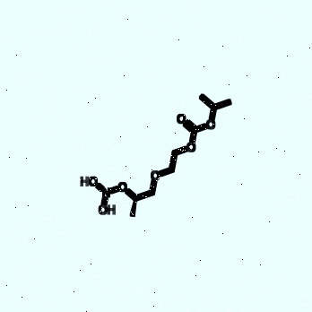 CC(C)OC(=O)OCCOC[C@@H](C)ON(O)O